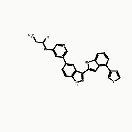 CCC(O)Nc1cncc(-c2ccc3[nH]nc(-c4cc5c(-c6ccoc6)cccc5[nH]4)c3c2)c1